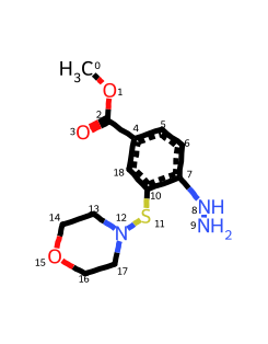 COC(=O)c1ccc(NN)c(SN2CCOCC2)c1